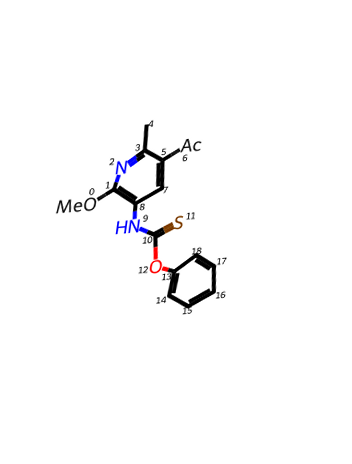 COc1nc(C)c(C(C)=O)cc1NC(=S)Oc1ccccc1